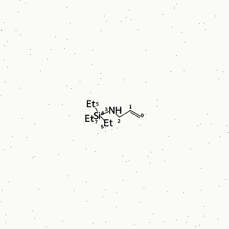 C=CCN[Si](CC)(CC)CC